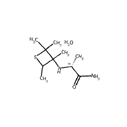 CC1SC(C)(C)C1(C)N[C@H](C)C(N)=O.O